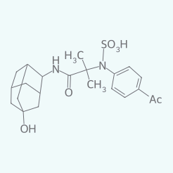 CC(=O)c1ccc(N(C(C)(C)C(=O)NC2C3CC4CC2CC(O)(C4)C3)S(=O)(=O)O)cc1